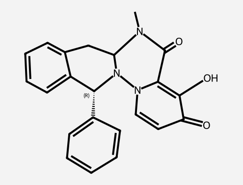 CN1C(=O)c2c(O)c(=O)ccn2N2C1Cc1ccccc1[C@H]2c1ccccc1